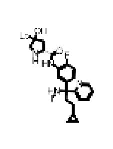 CCC1(O)CN[C@@H](C(=O)Nc2cc(C(CCC3CC3)(NI)c3ccccn3)ccc2F)C1